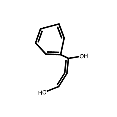 OC=C=C(O)c1ccccc1